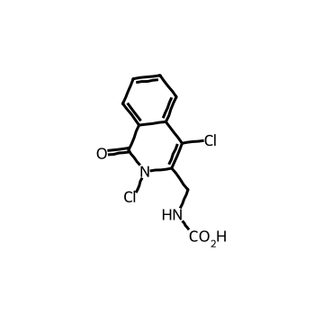 O=C(O)NCc1c(Cl)c2ccccc2c(=O)n1Cl